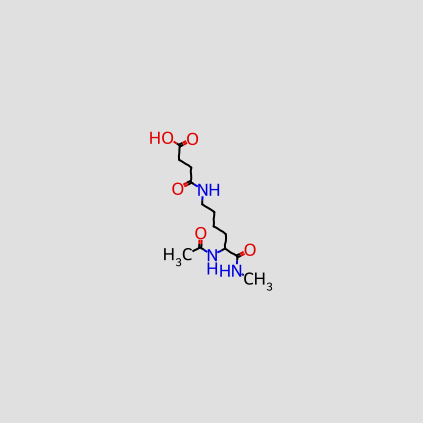 CNC(=O)C(CCCCNC(=O)CCC(=O)O)NC(C)=O